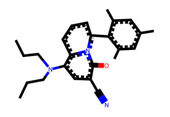 CCCN(CCC)c1cc(C#N)c(=O)n2c(-c3c(C)cc(C)cc3C)cccc12